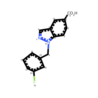 O=C(O)c1ccc2c(cnn2Cc2cccc(F)c2)c1